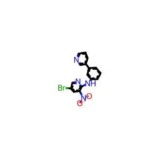 O=[N+]([O-])c1cc(Br)cnc1Nc1cccc(-c2cccnc2)c1